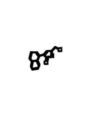 ClCc1cc(-c2cccc3ccccc23)n(Cl)n1